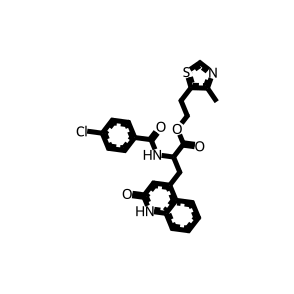 Cc1ncsc1CCOC(=O)C(Cc1cc(=O)[nH]c2ccccc12)NC(=O)c1ccc(Cl)cc1